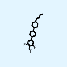 CC/C=C/C1CCC(c2ccc(-c3cc(F)c(CF)c(F)c3)cc2)CC1